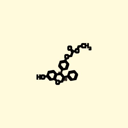 CCOC(=O)COc1ccc([C@H]2c3ccc(O)cc3OC[C@@H]2c2ccccc2)cc1